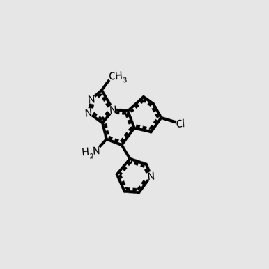 Cc1nnc2c(N)c(-c3cccnc3)c3cc(Cl)ccc3n12